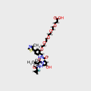 Cc1ncsc1-c1ccc(CNC(=O)[C@@H]2C[C@@H](O)CN2C(=O)[C@@H](NC(=O)C2(F)CC2)C(C)(C)C)c(OCCOCCOCCOCCOCCC(=O)O)c1